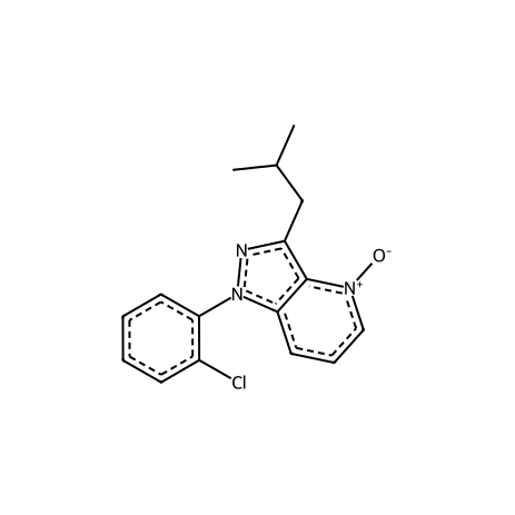 CC(C)Cc1nn(-c2ccccc2Cl)c2ccc[n+]([O-])c12